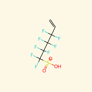 C=CC(F)(F)C(F)(F)C(F)(F)C(F)(F)S(=O)(=O)O